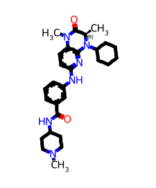 C[C@@H]1C(=O)N(C)c2ccc(Nc3cccc(C(=O)NC4CCN(C)CC4)c3)nc2N1C1CCCCC1